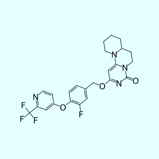 O=c1nc(OCc2ccc(Oc3ccnc(C(F)(F)F)c3)c(F)c2)cc2n1CCC1CCCCN21